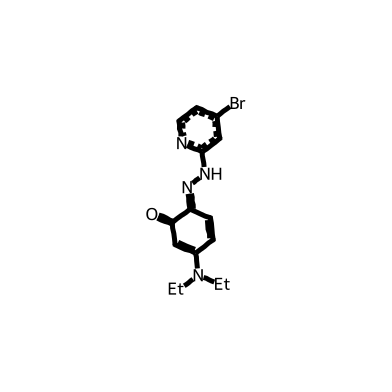 CCN(CC)C1=CC(=O)C(=NNc2cc(Br)ccn2)C=C1